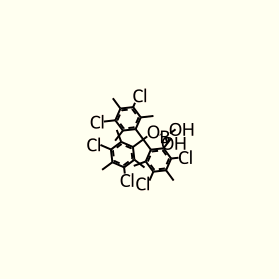 Cc1c(Cl)c(C)c(C(OB(O)O)(c2c(C)c(Cl)c(C)c(Cl)c2C)c2c(C)c(Cl)c(C)c(Cl)c2C)c(C)c1Cl